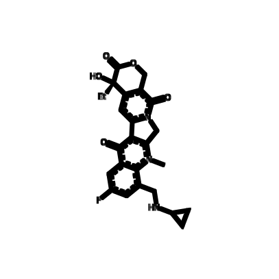 CC[C@@]1(O)C(=O)OCc2c1cc1n(c2=O)Cc2c-1c(=O)c1cc(F)cc(CNC3CC3)c1n2C